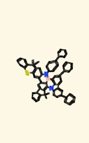 CC1(C)c2ccccc2Sc2cc3c(cc21)N(c1ccc(-c2ccccc2)cc1)B1c2c-3cc3c(c2-n2c4ccc(-c5ccccc5)cc4c4cc(-c5ccccc5)cc1c42)C(C)(C)c1ccccc1-3